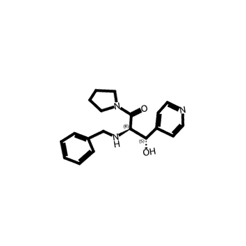 O=C([C@H](NCc1ccccc1)[C@@H](O)c1ccncc1)N1CCCC1